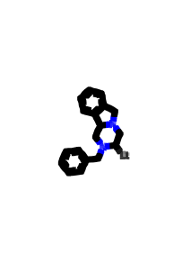 CCC1CN2Cc3ccccc3C2CN1Cc1ccccc1